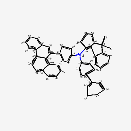 CC1(C)c2ccccc2-c2c(N(c3ccc(C4=CCCC=C4)cc3)c3ccc(-c4cc5ccccc5c5ccc6ccccc6c45)cc3)cccc21